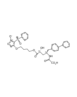 O=C(O)C(=O)N[C@H](Cc1ccc(-c2ccccc2)cc1)C[C@@H](O)C(=O)OCCCCOc1no[n+]([O-])c1S(=O)(=O)c1ccccc1